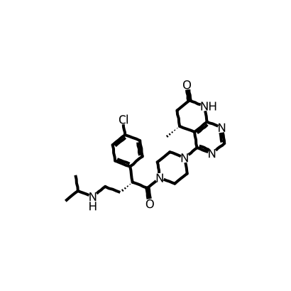 CC(C)NCC[C@@H](C(=O)N1CCN(c2ncnc3c2[C@H](C)CC(=O)N3)CC1)c1ccc(Cl)cc1